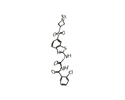 CCN1CC(S(=O)(=O)c2ccc3nc(NC(=O)NC(=O)c4ccccc4Cl)sc3c2)C1